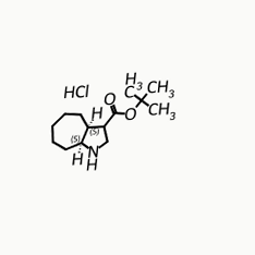 CC(C)(C)OC(=O)C1CN[C@H]2CCCCC[C@@H]12.Cl